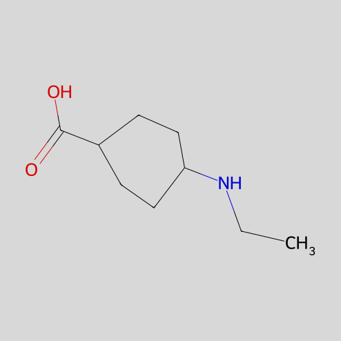 CCNC1CCC(C(=O)O)CC1